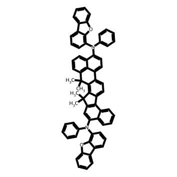 CC1(C)c2cc(N(c3ccccc3)c3cccc4c3oc3ccccc34)c3ccccc3c2-c2ccc3c(c21)C(C)(C)c1cccc2c(N(c4ccccc4)c4cccc5c4oc4ccccc45)ccc-3c12